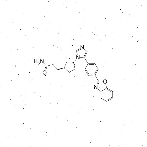 NC(=O)CC[C@@H]1CC[C@@H](n2cncc2-c2ccc(-c3nc4ccccc4o3)cc2)C1